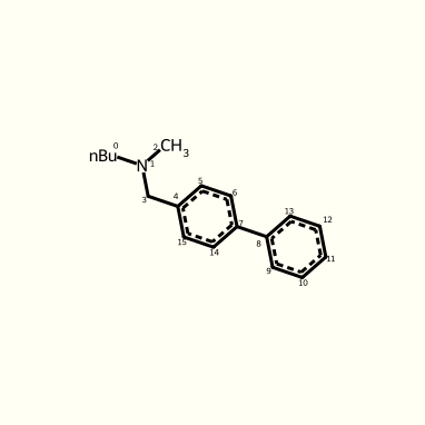 CCCCN(C)Cc1ccc(-c2ccccc2)cc1